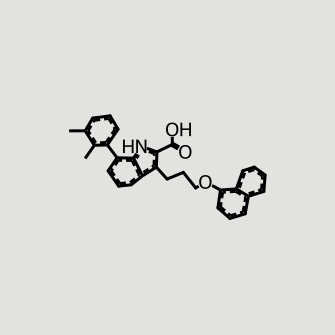 Cc1cccc(-c2cccc3c(CCCOc4cccc5ccccc45)c(C(=O)O)[nH]c23)c1C